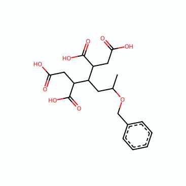 CC(CC(C(CC(=O)O)C(=O)O)C(CC(=O)O)C(=O)O)OCc1ccccc1